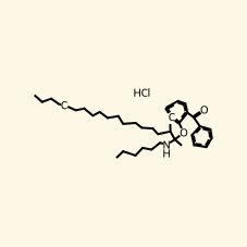 CCCCCCCCCCCCCCCCC(C)C(C)(NCCCCCC)Oc1ccccc1C(=O)c1ccccc1.Cl